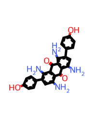 Nc1cc(-c2ccc(O)cc2)c(N)c2c1C(=O)c1c(N)cc(-c3ccc(O)cc3)c(N)c1C2=O